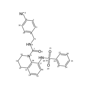 N#Cc1ccc(CNC(=O)N2CCCc3cccc(NS(=O)(=O)c4ccccc4)c32)cc1